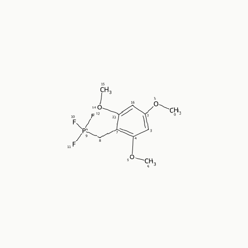 COc1cc(OC)c(C[P+](F)(F)F)c(OC)c1